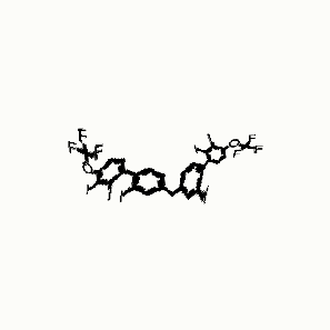 FC(F)(F)Oc1ccc(-c2ccc(Cc3ccc(-c4ccc(OC(F)(F)F)c(I)c4I)c(I)c3)cc2I)c(I)c1I